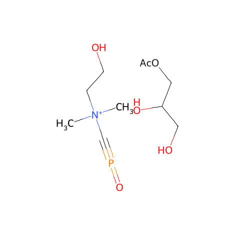 CC(=O)OCC(O)CO.C[N+](C)(C#P=O)CCO